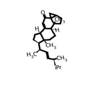 CC(C)[C@H](C)C=C[C@@H](C)[C@H]1CC[C@H]2C3=CC(=O)C45CC4CC[C@]5(C)[C@H]3CC[C@]12C